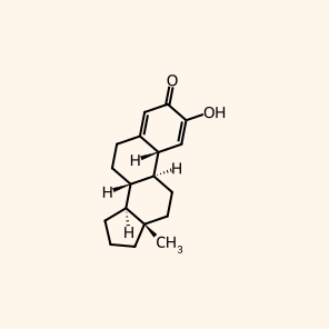 C[C@@]12CCC[C@H]1[C@@H]1CCC3=CC(=O)C(O)=C[C@@H]3[C@H]1CC2